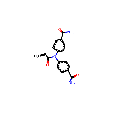 C=CC(=O)N(c1ccc(C(N)=O)cc1)c1ccc(C(N)=O)cc1